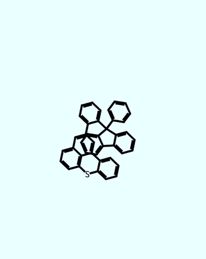 c1ccc(C2(c3ccccc3-c3cc4c5c(cccc5c3)Sc3ccccc3-4)c3ccccc3-c3ccccc32)cc1